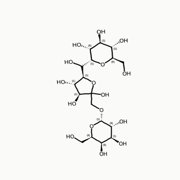 OC[C@H]1O[C@H](OCC2(O)O[C@H](C(O)[C@H]3O[C@H](CO)[C@@H](O)[C@H](O)[C@H]3O)[C@@H](O)[C@@H]2O)[C@H](O)[C@@H](O)[C@H]1O